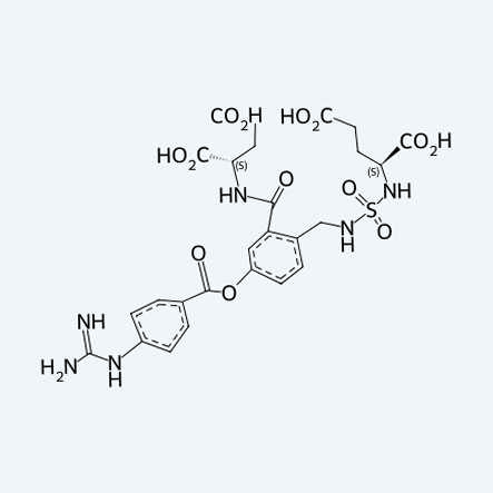 N=C(N)Nc1ccc(C(=O)Oc2ccc(CNS(=O)(=O)N[C@@H](CCC(=O)O)C(=O)O)c(C(=O)N[C@@H](CC(=O)O)C(=O)O)c2)cc1